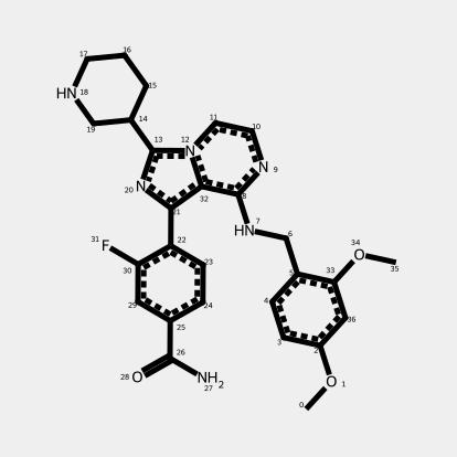 COc1ccc(CNc2nccn3c(C4CCCNC4)nc(-c4ccc(C(N)=O)cc4F)c23)c(OC)c1